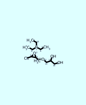 CC1OC1Cl.CCN(CC)CC.OCC(O)CO